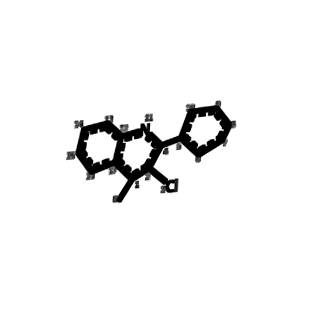 Cc1c(Cl)c(-c2ccccc2)nc2ccccc12